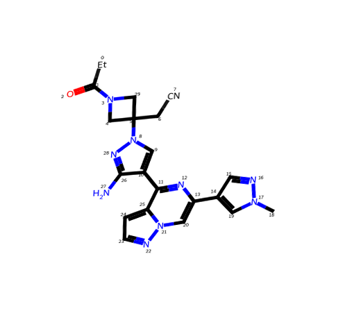 CCC(=O)N1CC(CC#N)(n2cc(-c3nc(-c4cnn(C)c4)cn4nccc34)c(N)n2)C1